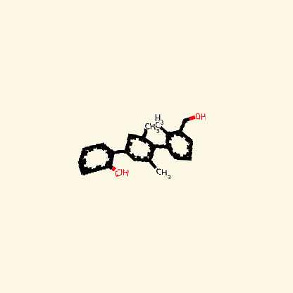 Cc1cc(-c2ccccc2O)cc(C)c1-c1cccc(CO)c1C